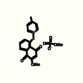 COC1=CC(=O)c2c(S[n+]3ccc(C)cc3)cccc2C1=O.COS(=O)(=O)[O-]